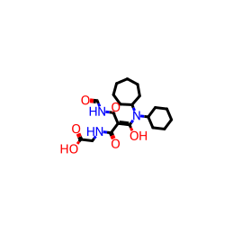 O=CNC(=O)/C(C(=O)NCC(=O)O)=C(/O)N(C1CCCCCC1)C1CCCCC1